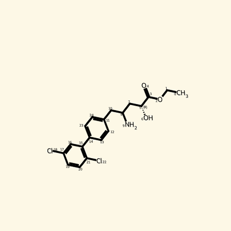 CCOC(=O)[C@H](O)CC(N)Cc1ccc(-c2cc(Cl)ccc2Cl)cc1